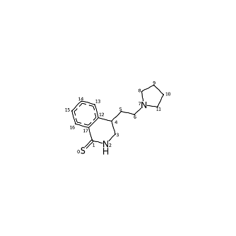 S=C1NCC(CCN2CCCC2)c2ccccc21